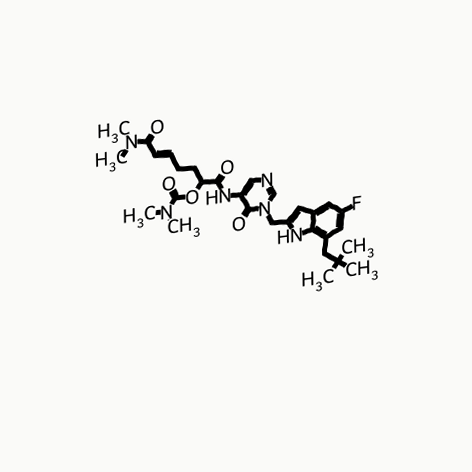 CN(C)C(=O)C=CCCC(OC(=O)N(C)C)C(=O)Nc1cncn(Cc2cc3cc(F)cc(CC(C)(C)C)c3[nH]2)c1=O